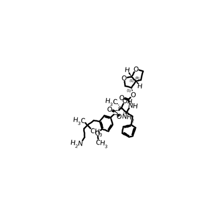 COc1ccc(S(=O)(=O)[C@@](C)(O)[C@](N)(Cc2ccccc2)NC(=O)O[C@@H]2CO[C@@H]3OCC[C@@H]32)cc1CC(C)(C)CCN